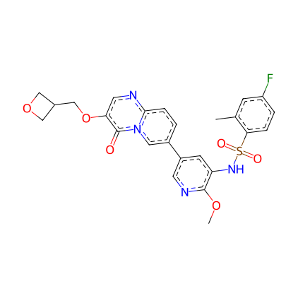 COc1ncc(-c2ccc3ncc(OCC4COC4)c(=O)n3c2)cc1NS(=O)(=O)c1ccc(F)cc1C